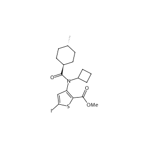 COC(=O)c1sc(I)cc1N(C(=O)[C@H]1CC[C@H](C)CC1)C1CCC1